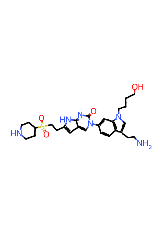 NCCc1cn(CCCCO)c2cc(-n3cc4cc(CCS(=O)(=O)C5CCNCC5)[nH]c4nc3=O)ccc12